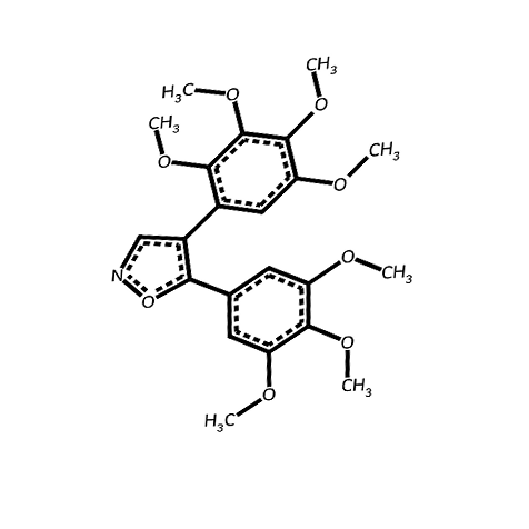 COc1cc(-c2oncc2-c2cc(OC)c(OC)c(OC)c2OC)cc(OC)c1OC